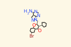 Nc1ncnc2c1cnn2Cc1oc2ccc(Br)cc2c(=O)c1-c1ccccc1